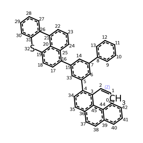 C/C=C\c1c(-c2cc(-c3ccccc3)cc(-c3ccc4c5c(cccc35)-c3ccccc3S4)c2)ccc2ccc3ccccc3c12